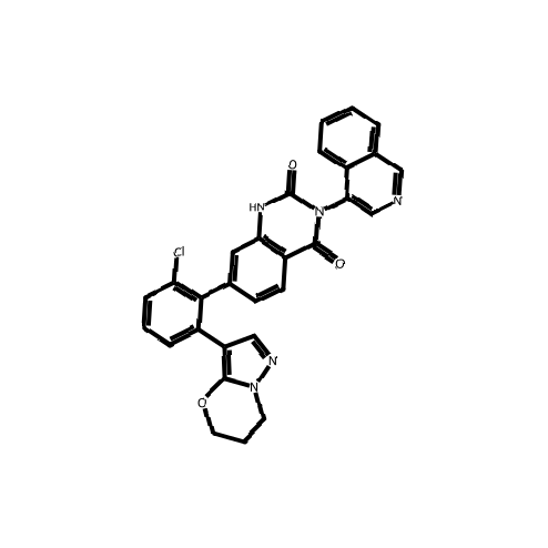 O=c1[nH]c2cc(-c3c(Cl)cccc3-c3cnn4c3OCCC4)ccc2c(=O)n1-c1cncc2ccccc12